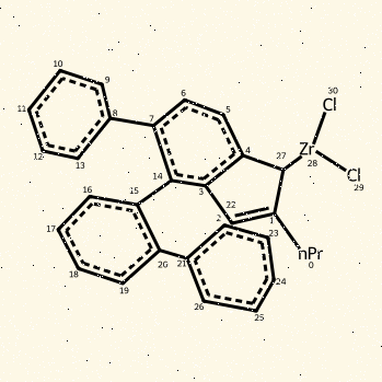 CCCC1=Cc2c(ccc(-c3ccccc3)c2-c2ccccc2-c2ccccc2)[CH]1[Zr]([Cl])[Cl]